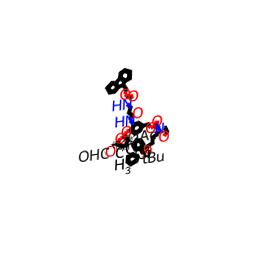 CC(=O)O[C@H]1C(Oc2ccc(COC(=O)N3CCOC3CCCO[Si](c3ccccc3)(c3ccccc3)C(C)(C)C)cc2NC(=O)CCNC(=O)OCC2c3ccccc3-c3ccccc32)O[C@H](COC=O)[C@@H](C)[C@@H]1C